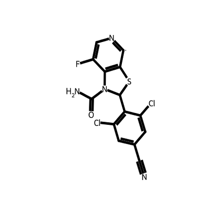 N#Cc1cc(Cl)c(C2Sc3[c]ncc(F)c3N2C(N)=O)c(Cl)c1